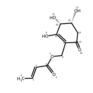 C/C=C/C(=O)OCC1=C(O)[C@H](O)[C@H](O)CC1=O